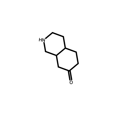 O=C1CCC2CCNCC2C1